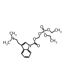 CCOP(=O)(OCC)OCOC(=O)n1cc(CCN(C)C)c2ccccc21